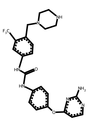 Nc1nccc(Oc2ccc(NC(=O)Nc3ccc(CN4CCNCC4)c(C(F)(F)F)c3)cc2)n1